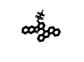 O=S(=O)(Oc1ccc(-c2c3ccccc3cc3c2ccc2ccccc23)c2oc3cc4ccccc4cc3c12)C(F)(F)F